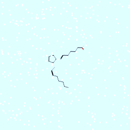 CCCCC/C=C\C[C@@H]1[C@H](/C=C/[C@@H](O)CCCC(=O)O)[C@@H](O)C[C@H]1O